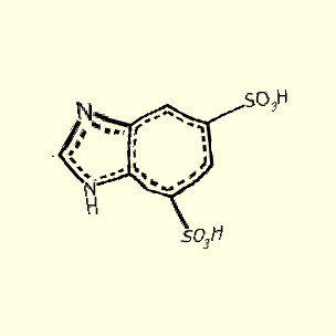 O=S(=O)(O)c1cc(S(=O)(=O)O)c2[nH][c]nc2c1